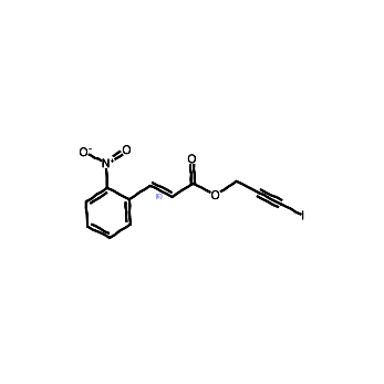 O=C(/C=C/c1ccccc1[N+](=O)[O-])OCC#CI